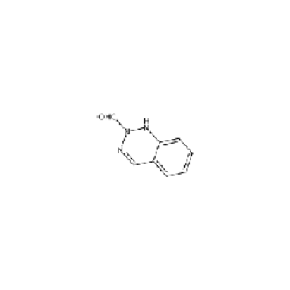 O=[C]N1N=Cc2ccccc2N1